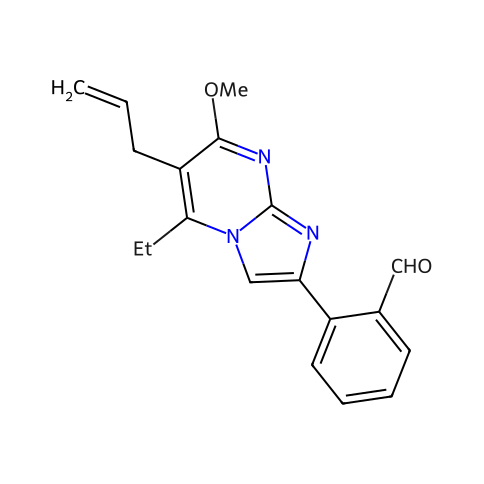 C=CCc1c(OC)nc2nc(-c3ccccc3C=O)cn2c1CC